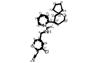 N#Cc1ncc(CNCC[C@@]2(c3ccccn3)CCOC3(CCCC3)C2)cc1Cl